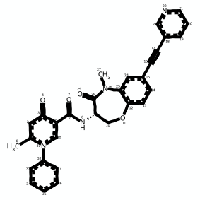 Cc1cc(=O)c(C(=O)N[C@H]2COc3ccc(C#Cc4cccnc4)cc3N(C)C2=O)cn1-c1ccccc1